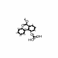 COC(=O)c1ccccc1-c1ccccc1.O=C(O)O